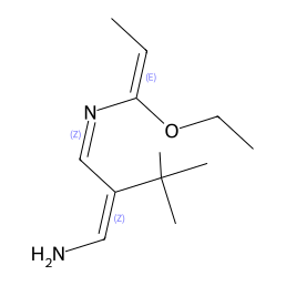 C\C=C(/N=C\C(=C/N)C(C)(C)C)OCC